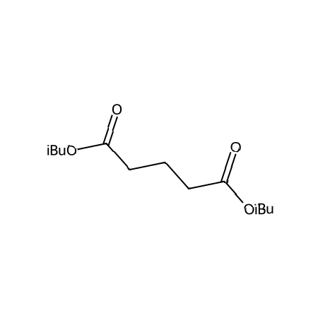 CC(C)COC(=O)CCCC(=O)OCC(C)C